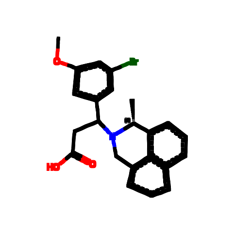 COc1cc(Br)cc(C(CC(=O)O)N(Cc2ccccc2)[C@H](C)c2ccccc2)c1